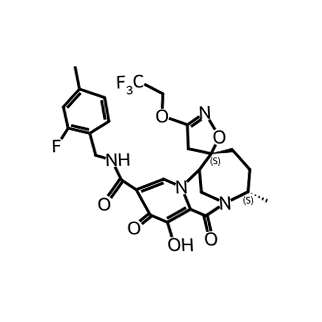 Cc1ccc(CNC(=O)c2cn3c(c(O)c2=O)C(=O)N2CC3[C@]3(CC[C@@H]2C)CC(OCC(F)(F)F)=NO3)c(F)c1